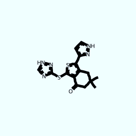 CC1(C)CC(=O)c2c(Sc3nc[nH]n3)sc(-c3cc[nH]n3)c2C1